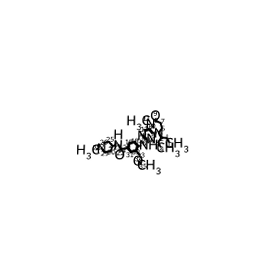 CCC(CC)N1CCC(=O)N(C)c2cnc(Nc3ccc(C(=O)NC4CCN(C)CC4)cc3COC)nc21